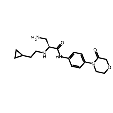 NC[C@H](NCCC1CC1)C(=O)Nc1ccc(N2CCOCC2=O)cc1